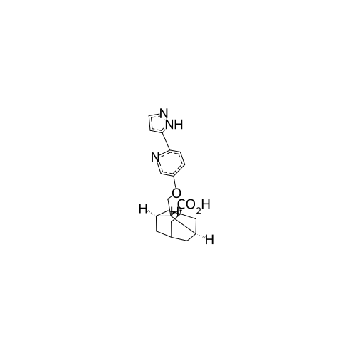 O=C(O)[C@]12CC3C[C@H](C1)[C@@H](COc1ccc(-c4ccn[nH]4)nc1)[C@@H](C3)C2